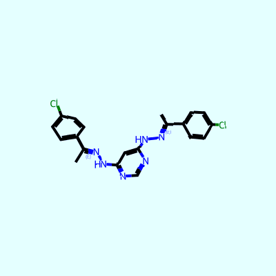 C/C(=N\Nc1cc(N/N=C(\C)c2ccc(Cl)cc2)ncn1)c1ccc(Cl)cc1